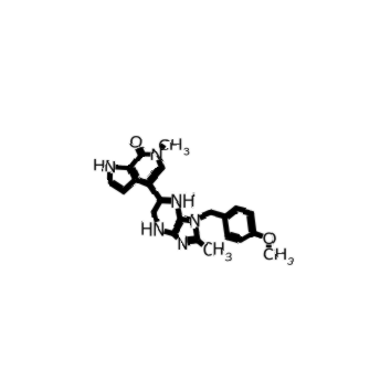 COc1ccc(Cn2c(C)nc3c2NC(c2cn(C)c(=O)c4[nH]ccc24)CN3)cc1